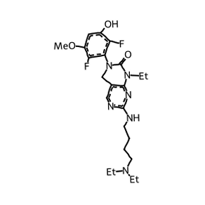 CCN(CC)CCCCNc1ncc2c(n1)N(CC)C(=O)N(c1c(F)c(O)cc(OC)c1F)C2